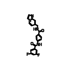 O=C(NCc1ccn2ccnc2c1)c1ccc(NC(=O)c2cc(F)cc(F)c2)cc1